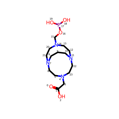 O=C(O)CN1CCN2CCCN(CCN(COP(O)O)CC2)CC1